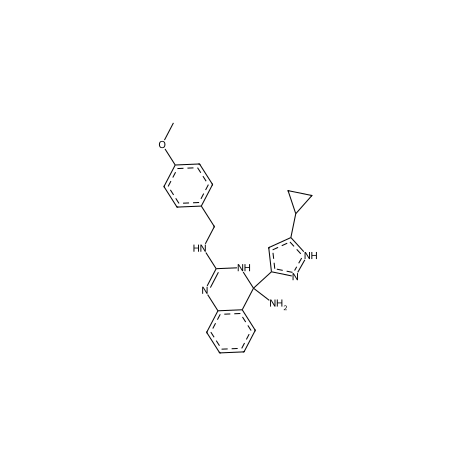 COc1ccc(CNC2=Nc3ccccc3C(N)(c3cc(C4CC4)[nH]n3)N2)cc1